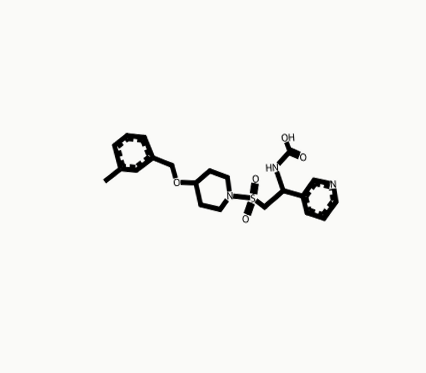 Cc1cccc(COC2CCN(S(=O)(=O)CC(NC(=O)O)c3cccnc3)CC2)c1